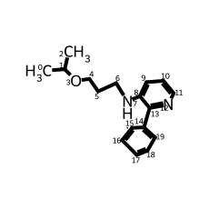 CC(C)OCCCNc1cccnc1-c1[c]cccc1